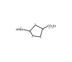 CCCCCCC1CCC(C(=O)OCC)C1